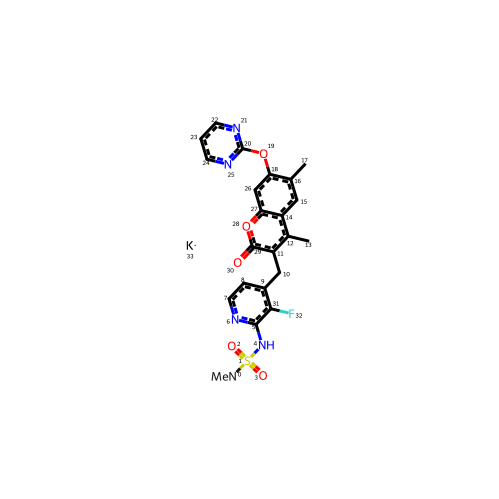 CNS(=O)(=O)Nc1nccc(Cc2c(C)c3cc(C)c(Oc4ncccn4)cc3oc2=O)c1F.[K]